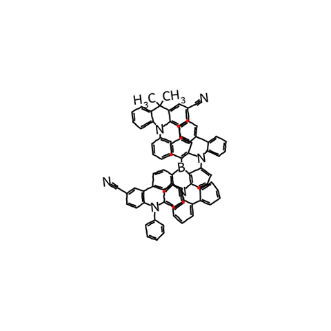 CC1(C)c2ccccc2N(c2ccccc2)c2c(-c3ccc4c(c3)N(c3ccccc3-c3ccccc3)c3cccc5c3B4c3ccc(-c4cc(C#N)ccc4N(c4ccccc4)c4ccccc4)cc3N5c3ccccc3-c3ccccc3)cc(C#N)cc21